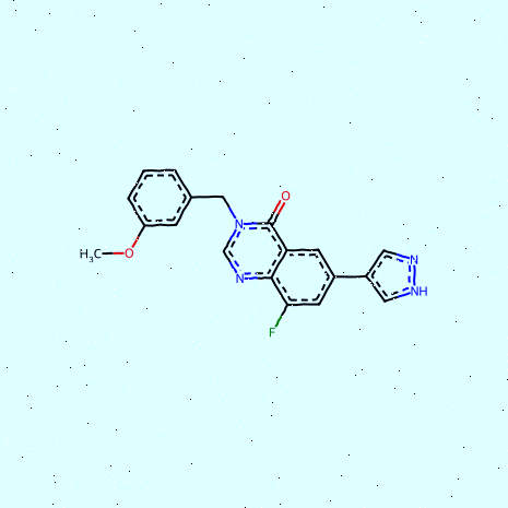 COc1cccc(Cn2cnc3c(F)cc(-c4cn[nH]c4)cc3c2=O)c1